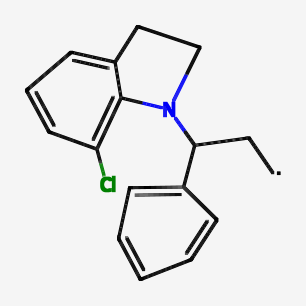 [CH2]CC(c1ccccc1)N1CCc2cccc(Cl)c21